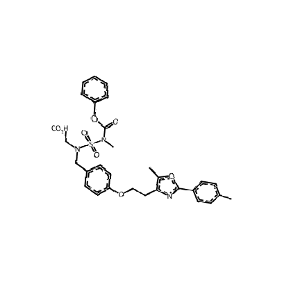 Cc1ccc(-c2nc(CCOc3ccc(CN(CC(=O)O)S(=O)(=O)N(C)C(=O)Oc4ccccc4)cc3)c(C)o2)cc1